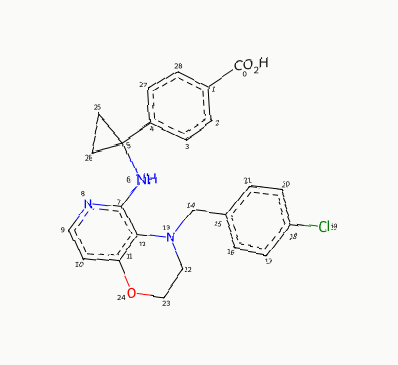 O=C(O)c1ccc(C2(Nc3nccc4c3N(Cc3ccc(Cl)cc3)CCO4)CC2)cc1